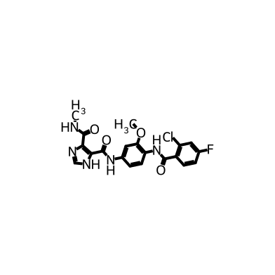 CNC(=O)c1nc[nH]c1C(=O)Nc1ccc(NC(=O)c2ccc(F)cc2Cl)c(OC)c1